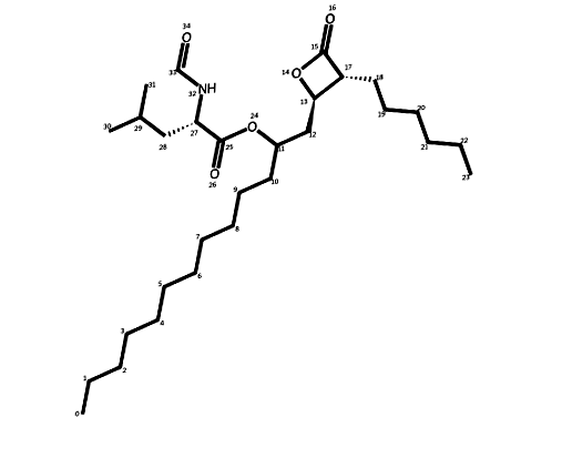 CCCCCCCCCCCC(C[C@H]1OC(=O)[C@@H]1CCCCCC)OC(=O)[C@H](CC(C)C)NC=O